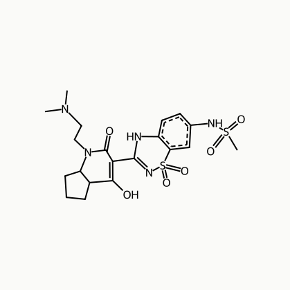 CN(C)CCN1C(=O)C(C2=NS(=O)(=O)c3cc(NS(C)(=O)=O)ccc3N2)=C(O)C2CCCC21